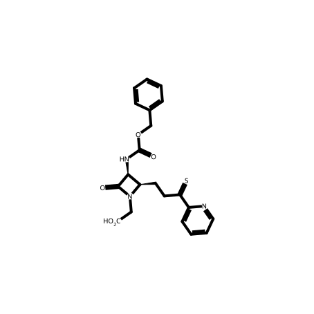 O=C(O)CN1C(=O)[C@@H](NC(=O)OCc2ccccc2)[C@H]1CCC(=S)c1ccccn1